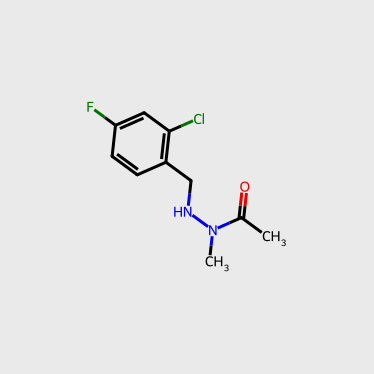 CC(=O)N(C)NCc1ccc(F)cc1Cl